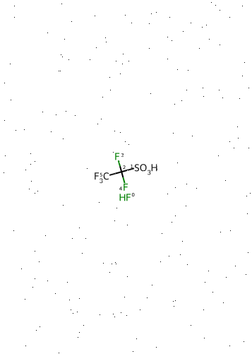 F.O=S(=O)(O)C(F)(F)C(F)(F)F